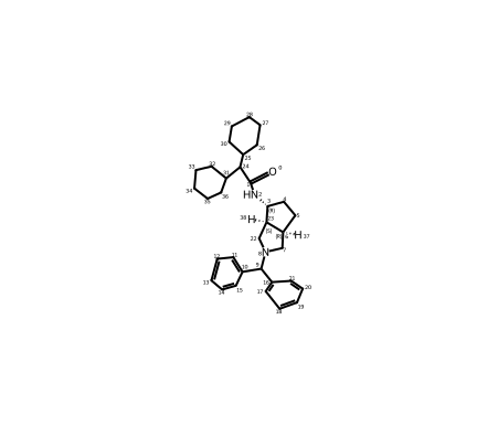 O=C(N[C@@H]1CC[C@H]2CN(C(c3ccccc3)c3ccccc3)C[C@H]21)C(C1CCCCC1)C1CCCCC1